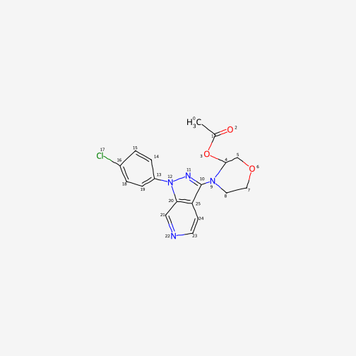 CC(=O)OC1COCCN1c1nn(-c2ccc(Cl)cc2)c2cnccc12